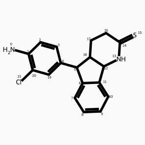 Nc1ccc(C2c3ccccc3C3NC(=S)CCC32)cc1Cl